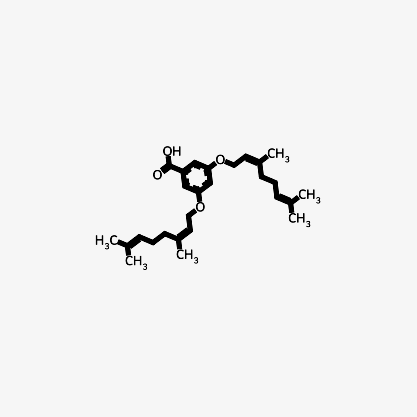 CC(C)=CCCC(C)=CCOc1cc(OCC=C(C)CCC=C(C)C)cc(C(=O)O)c1